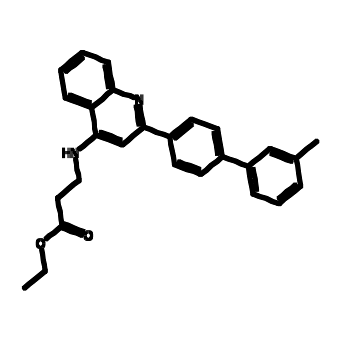 CCOC(=O)CCNc1cc(-c2ccc(-c3cccc(C)c3)cc2)nc2ccccc12